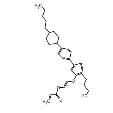 C=CC(=O)O/C=C/Oc1cc(-c2ccc(C3CCC(CCCCC)CC3)cc2)ccc1CCCO